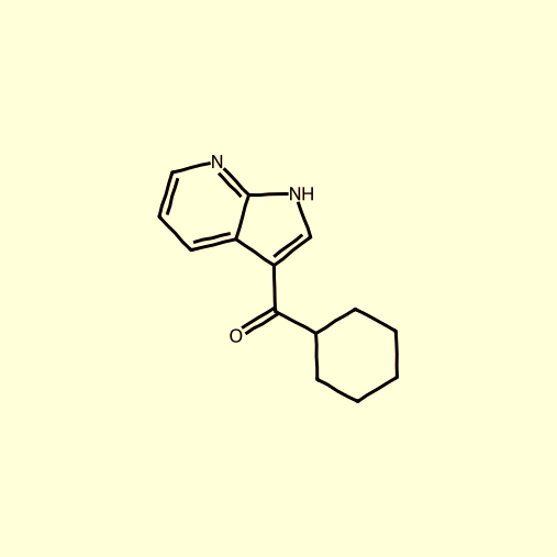 O=C(c1c[nH]c2ncccc12)C1CCCCC1